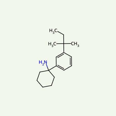 CCC(C)(C)c1cccc(C2(N)CCCCC2)c1